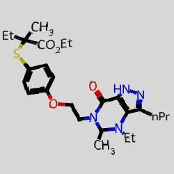 CCCc1n[nH]c2c1N(CC)C(C)N(CCOc1ccc(SC(C)(CC)C(=O)OCC)cc1)C2=O